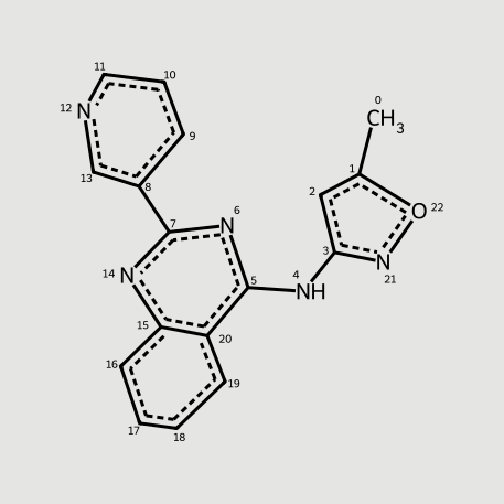 Cc1cc(Nc2nc(-c3cccnc3)nc3ccccc23)no1